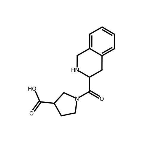 O=C(O)C1CCN(C(=O)C2Cc3ccccc3CN2)C1